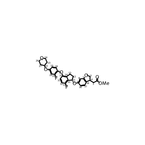 COC(=O)CC1COc2cc(O[C@@H]3CCc4c(Oc5ccc(OC6CCOCC6)cc5F)ccc(F)c43)ccc21